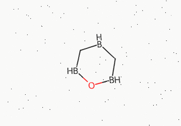 B1CBOBC1